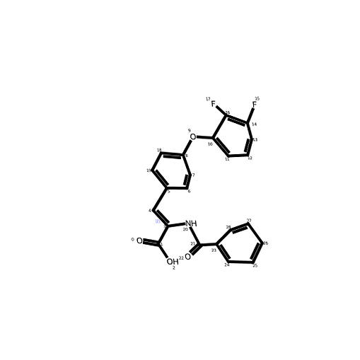 O=C(O)/C(=C/c1ccc(Oc2cccc(F)c2F)cc1)NC(=O)c1ccccc1